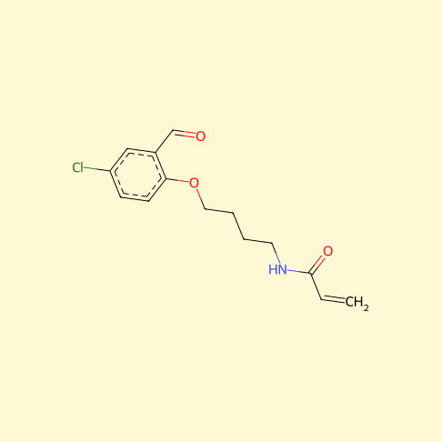 C=CC(=O)NCCCCOc1ccc(Cl)cc1C=O